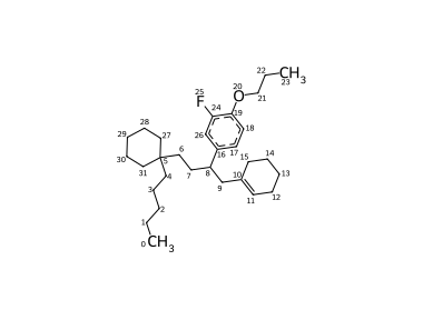 CCCCCC1(CCC(CC2=CCCCC2)c2ccc(OCCC)c(F)c2)CCCCC1